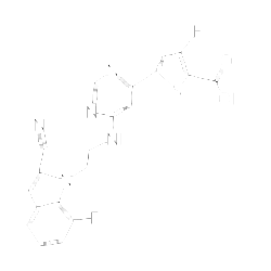 N#Cc1cc2cccc(F)c2n1CCNc1cc(-c2cc(F)c(C(=O)O)s2)ncn1